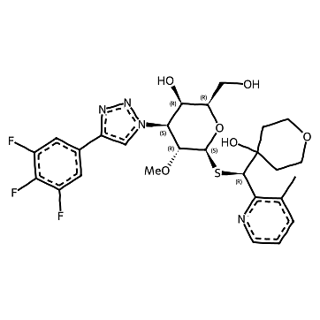 CO[C@@H]1[C@@H](n2cc(-c3cc(F)c(F)c(F)c3)nn2)[C@@H](O)[C@@H](CO)O[C@H]1S[C@H](c1ncccc1C)C1(O)CCOCC1